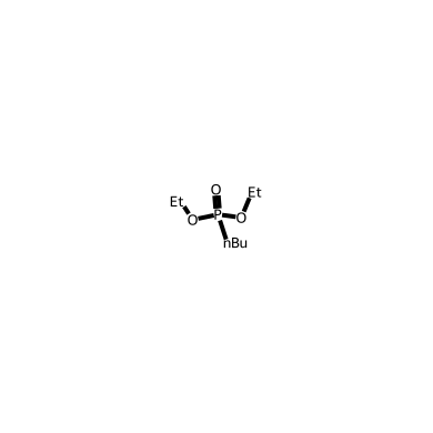 CC[CH]CP(=O)(OCC)OCC